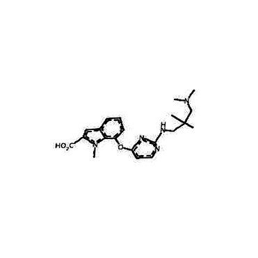 CN(C)CC(C)(C)CNc1nccc(Oc2cccc3cc(C(=O)O)n(C)c23)n1